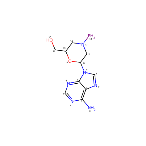 Nc1ncnc2c1ncn2C1CN(P)CC(CO)O1